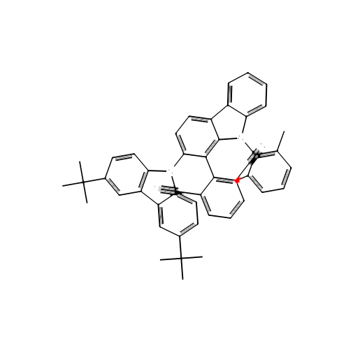 Cc1cccc(C)c1-n1c2ccccc2c2ccc(-n3c4ccc(C(C)(C)C)cc4c4cc(C(C)(C)C)ccc43)c(-c3c(C#N)cccc3C#N)c21